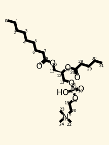 CCCCCCCCC(=O)OC[C@H](COP(=O)(O)OCC[N+](C)(C)C)OC(=O)CCCC